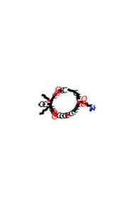 C=C=C=C=C1C(CCCCC)CCOC(=O)CCCCCCCCCC(C(=O)OCCCN(C)C)CCCCCCCCCC(=O)OCCC1CCCCC